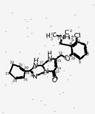 CN(C)Cc1c(Cl)cccc1OCC1=CC(=O)N2N=C(C3=CCCC=C3)NC2N1